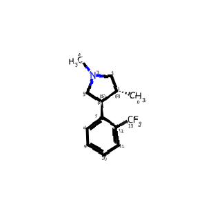 C[C@H]1CN(C)C[C@@H]1c1ccccc1C(F)(F)F